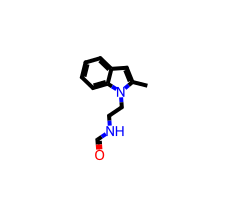 Cc1cc2ccccc2n1CCNC=O